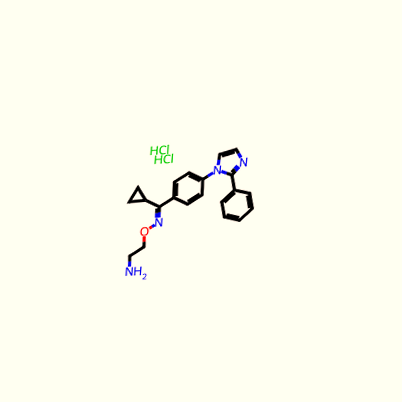 Cl.Cl.NCCON=C(c1ccc(-n2ccnc2-c2ccccc2)cc1)C1CC1